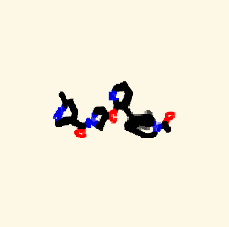 CC(=O)N1CCC[C@@H](c2cccnc2OC2CN(C(=O)c3ccc(C)nc3)C2)C1